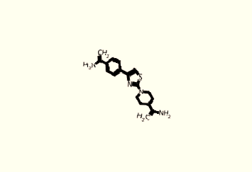 C=C(N)c1ccc(-c2csc(N3CCC(C(=C)N)CC3)n2)cc1